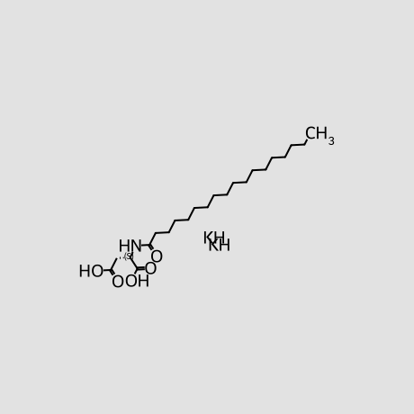 CCCCCCCCCCCCCCCCCC(=O)N[C@@H](CC(=O)O)C(=O)O.[KH].[KH]